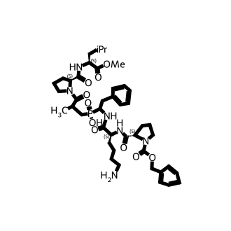 COC(=O)[C@H](CC(C)C)NC(=O)[C@@H]1CCCN1C(=O)C(C)CP(=O)(O)C(Cc1ccccc1)NC(=O)[C@H](CCCCN)NC(=O)[C@@H]1CCCN1C(=O)OCc1ccccc1